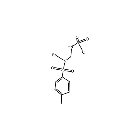 CCN([C]NS(=O)(=O)Cl)S(=O)(=O)c1ccc(C)cc1